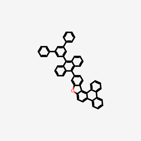 c1ccc(-c2cc(-c3ccccc3)cc(-c3c4ccccc4c(-c4ccc5c(c4)oc4ccc6c7ccccc7c7ccccc7c6c45)c4ccccc34)c2)cc1